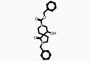 O=C(OCc1ccccc1)N1CCC2(CCN(Cc3ccccc3)C2=O)C(O)C1